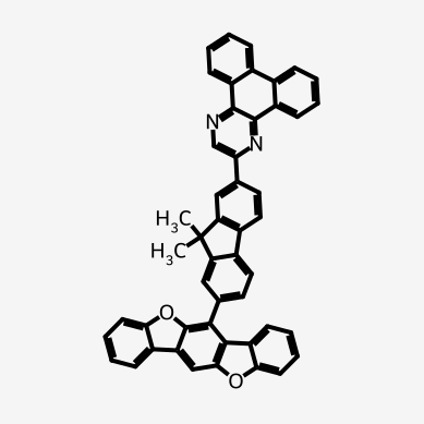 CC1(C)c2cc(-c3cnc4c5ccccc5c5ccccc5c4n3)ccc2-c2ccc(-c3c4oc5ccccc5c4cc4oc5ccccc5c34)cc21